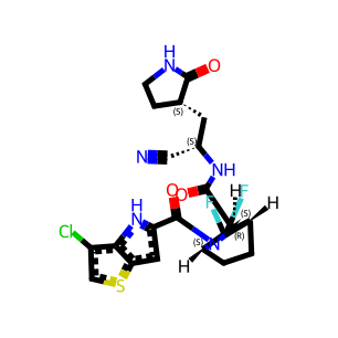 N#C[C@H](C[C@@H]1CCNC1=O)NC(=O)[C@H]1[C@@H]2CC[C@@H](CC2(F)F)N1C(=O)c1cc2scc(Cl)c2[nH]1